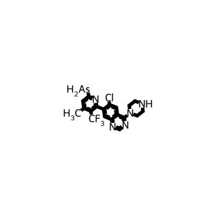 Cc1cc([AsH2])nc(-c2cc3ncnc(N4CCNCC4)c3cc2Cl)c1C(F)(F)F